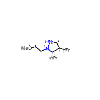 CCCC1C(C(C)C)CNN1CCOC